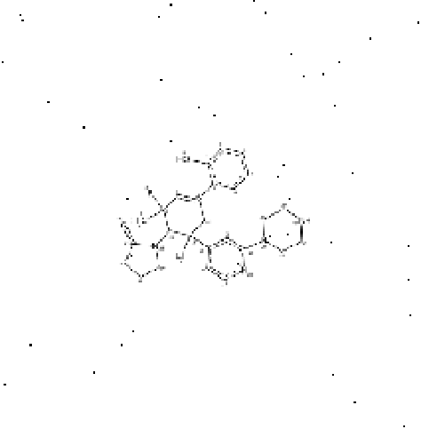 CC1(F)C=C(c2ccccc2O)CC(Cl)(c2ccnc(N3CCNCC3)c2)C1N1CCCC1=O